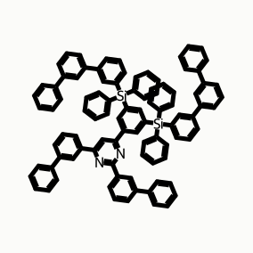 c1ccc(-c2cccc(-c3cccc([Si](c4ccccc4)(c4ccccc4)c4cc(-c5cc(-c6cccc(-c7ccccc7)c6)nc(-c6cccc(-c7ccccc7)c6)n5)cc([Si](c5ccccc5)(c5ccccc5)c5cccc(-c6cccc(-c7ccccc7)c6)c5)c4)c3)c2)cc1